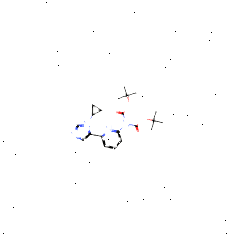 CC(C)(C)OC(=O)N(C(=O)OC(C)(C)C)c1cccc(-c2cncn2C2CC2)n1